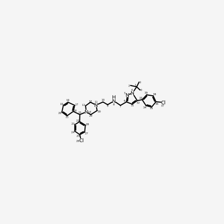 CC(C)(C)n1nc(CNCCN2CCN(C(c3ccccc3)c3ccc(Cl)cc3)CC2)cc1-c1ccc(Cl)cc1